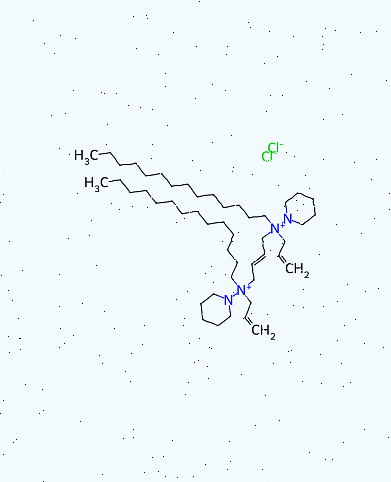 C=CC[N+](CC=CC[N+](CC=C)(CCCCCCCCCCCCCC)N1CCCCC1)(CCCCCCCCCCCCCC)N1CCCCC1.[Cl-].[Cl-]